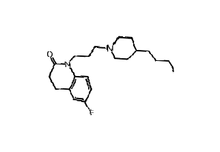 CCCCC1CCN(CCCN2C(=O)CCc3cc(F)ccc32)CC1